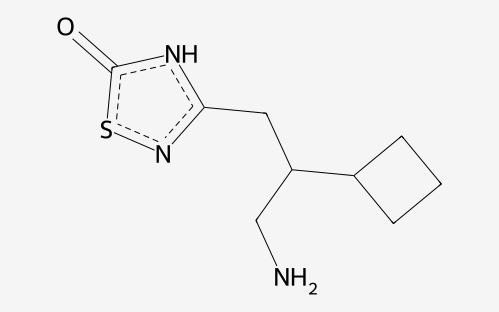 NCC(Cc1nsc(=O)[nH]1)C1CCC1